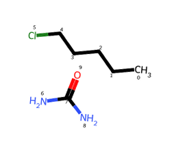 CCCCCCl.NC(N)=O